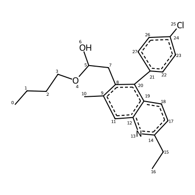 CCCCOC(O)Cc1c(C)cc2nc(CC)ccc2c1-c1ccc(Cl)cc1